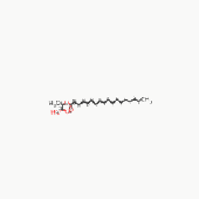 CCCCCCCCCCCCCCCCCC(=O)O[C@@H](C)C(=O)O